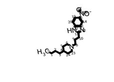 CCCCC1CCN(CCCc2nc3cc([N+](=O)[O-])ccc3[nH]2)CC1